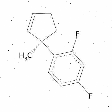 C[C@]1(c2ccc(F)cc2F)C=CCC1